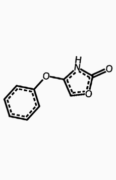 O=c1[nH]c(Oc2ccccc2)co1